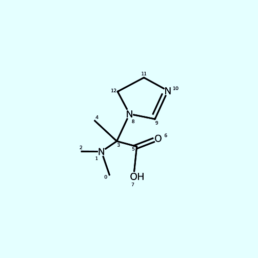 CN(C)C(C)(C(=O)O)N1C=NCC1